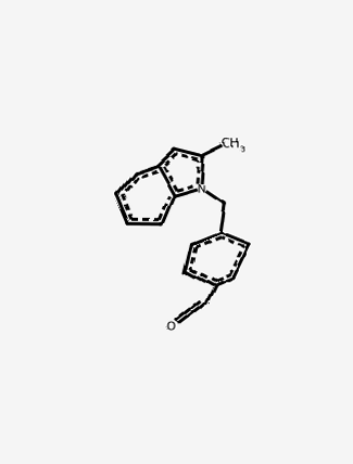 Cc1cc2ccccc2n1Cc1ccc([C]=O)cc1